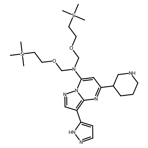 C[Si](C)(C)CCOCN(COCC[Si](C)(C)C)c1cc(C2CCCNC2)nc2c(-c3ccn[nH]3)cnn12